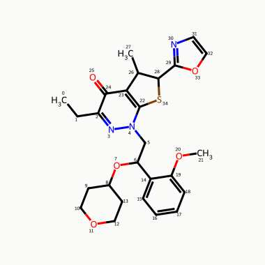 CCc1nn(CC(OC2CCOCC2)c2ccccc2OC)c2c(c1=O)C(C)C(c1ncco1)S2